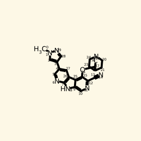 Cn1cc(-c2cnc3[nH]c4cnc(C#N)c(OC5CN6CCC5CC6)c4c3c2)cn1